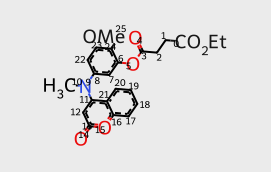 CCOC(=O)CCC(=O)Oc1cc(N(C)c2cc(=O)oc3ccccc23)ccc1OC